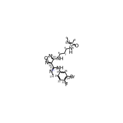 CN=S(C)(=O)NCCCNc1nonc1/C(=N/I)Nc1ccc(F)c(Br)c1